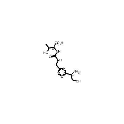 CC(O)[C@H](NC(=O)NCc1noc([C@@H](N)CO)n1)C(=O)O